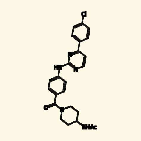 CC(=O)NC1CCN(C(=O)c2ccc(Nc3nccc(-c4ccc(Cl)cc4)n3)cc2)CC1